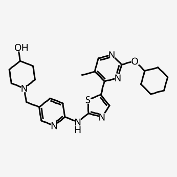 Cc1cnc(OC2CCCCC2)nc1-c1cnc(Nc2ccc(CN3CCC(O)CC3)cn2)s1